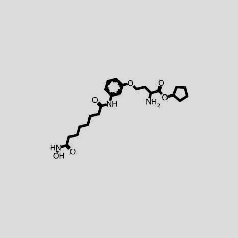 NC(CCOc1cccc(NC(=O)CCCCCCC(=O)NO)c1)C(=O)OC1CCCC1